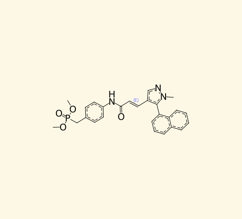 COP(=O)(Cc1ccc(NC(=O)/C=C/c2cnn(C)c2-c2cccc3ccccc23)cc1)OC